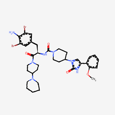 COc1ccccc1-c1cn(C2CCN(C(=O)N[C@H](Cc3cc(Br)c(N)c(Br)c3)C(=O)N3CCC(N4CCCCC4)CC3)CC2)c(=O)[nH]1